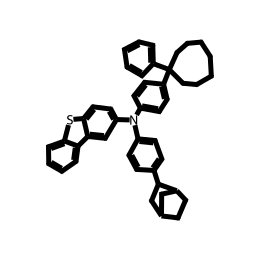 c1ccc(C2(c3ccc(N(c4ccc(C5CC6CCC5C6)cc4)c4ccc5sc6ccccc6c5c4)cc3)CCCCCCC2)cc1